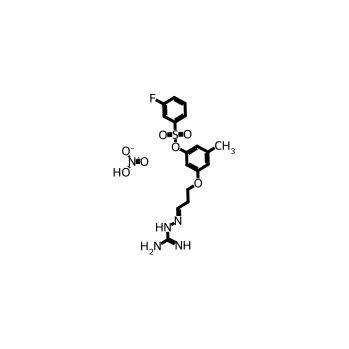 Cc1cc(OCCC=NNC(=N)N)cc(OS(=O)(=O)c2cccc(F)c2)c1.O=[N+]([O-])O